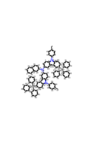 Cc1ccc(-n2c3ccc(N(c4ccc5ccccc5c4)c4ccc5c(c4)c4cc([Si](c6ccccc6)(c6ccccc6)c6ccccc6)ccc4n5-c4ccc(C)cc4)cc3c3cc([Si](c4ccccc4)(c4ccccc4)c4ccccc4)ccc32)cc1